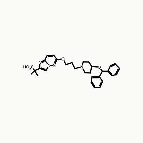 CC(C)(C(=O)O)c1cn2nc(OCCCN3CCC(OC(c4ccccc4)c4ccccc4)CC3)ccc2n1